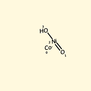 [Co].[O]=[Ni][OH]